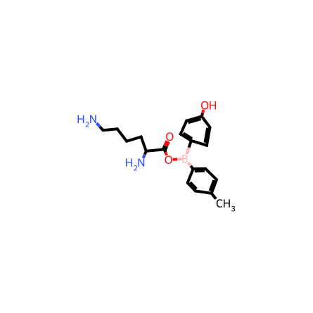 Cc1ccc(B(OC(=O)C(N)CCCCN)c2ccc(O)cc2)cc1